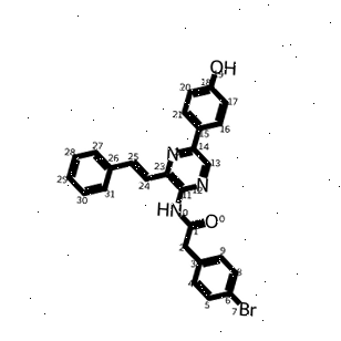 O=C(Cc1ccc(Br)cc1)Nc1ncc(-c2ccc(O)cc2)nc1/C=C/c1ccccc1